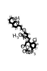 Cn1nc(CC(CC(=O)OC(=O)C(F)(F)F)c2cc(C(C)(C)C)ccc2Cl)cc1OCCc1ccc2c(n1)NCCC2